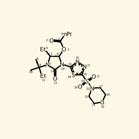 CCCC(=O)OC1C(CC)N(C(C)(C)CC)C(=O)N1c1nnc(S(=O)(=O)N2CCOCC2)s1